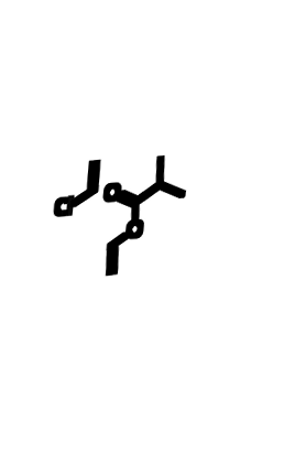 C=CCl.C=COC(=O)C(C)C